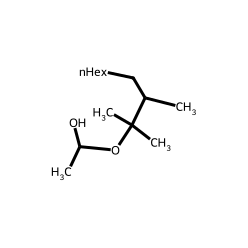 CCCCCCCC(C)C(C)(C)OC(C)O